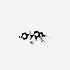 Cc1cc2ccn(C(=O)NC3CCNCC3)c(=O)c2n1C.Cl